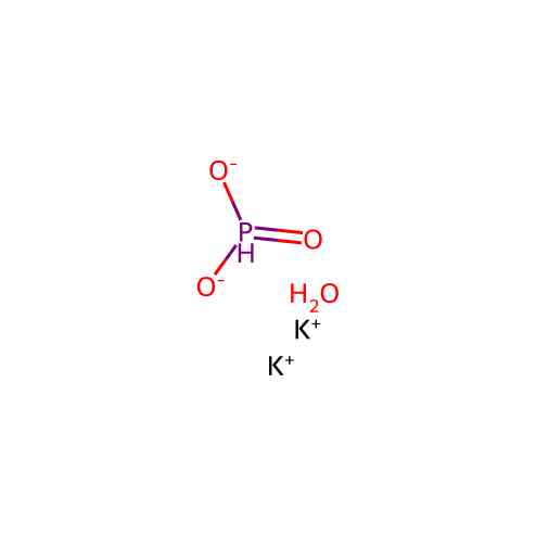 O.O=[PH]([O-])[O-].[K+].[K+]